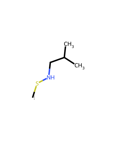 [C]SNCC(C)C